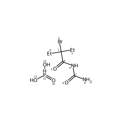 CCC(Br)(CC)C(=O)NC(N)=O.O=[PH](O)O